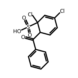 O=C(c1ccccc1)C1C=CC(Cl)=CC1(Cl)S(=O)(=O)O